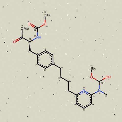 COC(=O)[C@H](Cc1ccc(CCCCc2cccc(N(C)C(O)OC(C)(C)C)n2)cc1)NC(=O)OC(C)(C)C